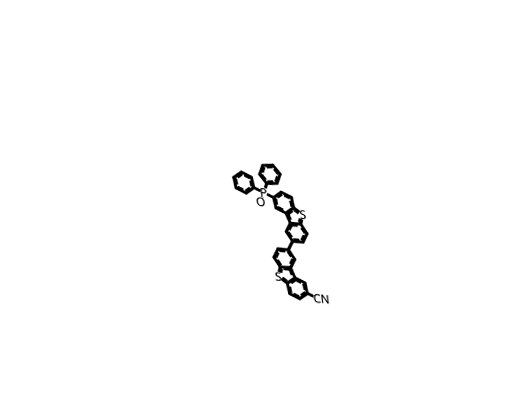 N#Cc1ccc2sc3ccc(-c4ccc5sc6ccc(P(=O)(c7ccccc7)c7ccccc7)cc6c5c4)cc3c2c1